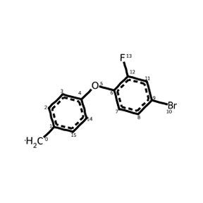 [CH2]c1ccc(Oc2ccc(Br)cc2F)cc1